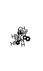 CN1C=C(Nc2nc(N[C@H]3CCc4ccccc43)c3cc[nH]c3n2)NN1